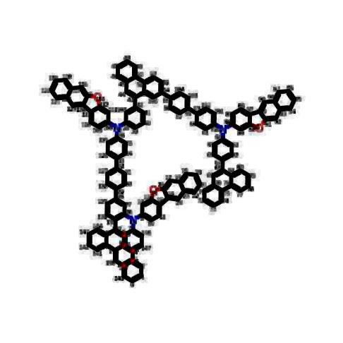 c1ccc(-c2ccc(N(c3ccc4c(c3)oc3cc5ccccc5cc34)c3cc(-c4ccc(-c5ccc(N(c6cccc(-c7cc8ccccc8c8ccc(-c9ccc(-c%10ccc(N(c%11ccc(-c%12cc%13ccccc%13c%13ccccc%12%13)cc%11)c%11ccc%12c(c%11)oc%11cc%13ccccc%13cc%11%12)cc%10)cc9)cc78)c6)c6ccc7c(c6)oc6cc8ccccc8cc67)cc5)cc4)ccc3-c3cc4ccccc4c4ccccc34)cc2)cc1